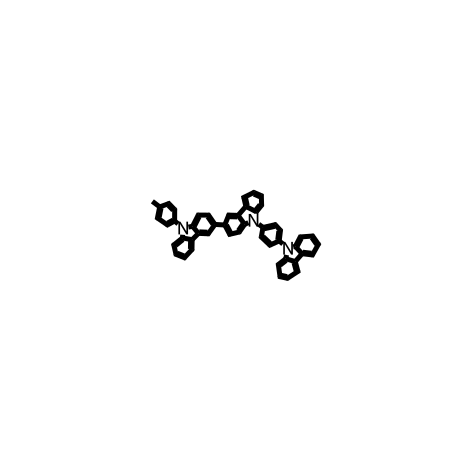 Cc1ccc(-n2c3ccccc3c3cc(-c4ccc5c(c4)c4ccccc4n5-c4ccc(-n5c6ccccc6c6ccccc65)cc4)ccc32)cc1